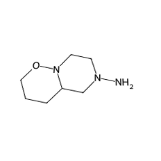 NN1CCN2OCCCC2C1